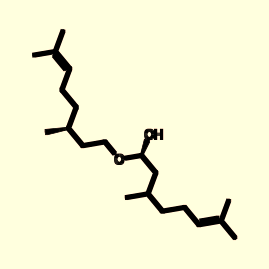 CC(C)=CCCC(C)C[C@H](O)OCC[C@@H](C)CCC=C(C)C